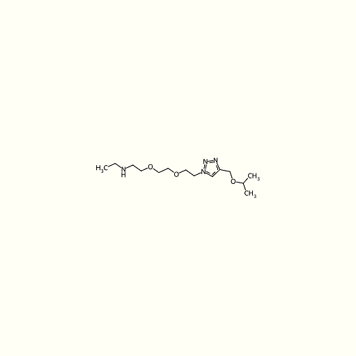 CCNCCOCCOCCn1cc(COC(C)C)nn1